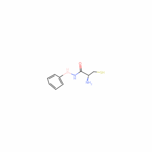 N[C@H](CS)C(=O)NBc1ccccc1